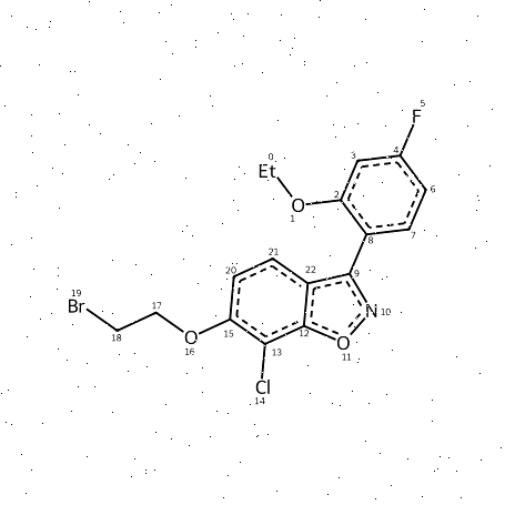 CCOc1cc(F)ccc1-c1noc2c(Cl)c(OCCBr)ccc12